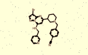 N#Cc1ccc(CN2CCCC(c3cc(NCc4cccnc4)n4ncc(Br)c4n3)C2)cc1